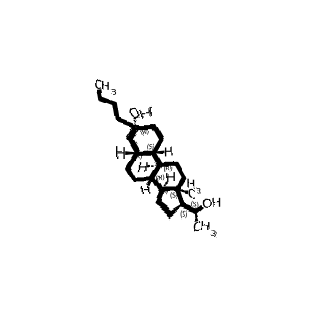 CCCC[C@@]1(O)CC[C@H]2[C@H](CC[C@@H]3[C@@H]2CC[C@]2(C)[C@@H]([C@H](C)O)CC[C@@H]32)C1